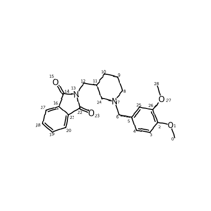 COc1ccc(CN2CCCC(CN3C(=O)c4ccccc4C3=O)C2)cc1OC